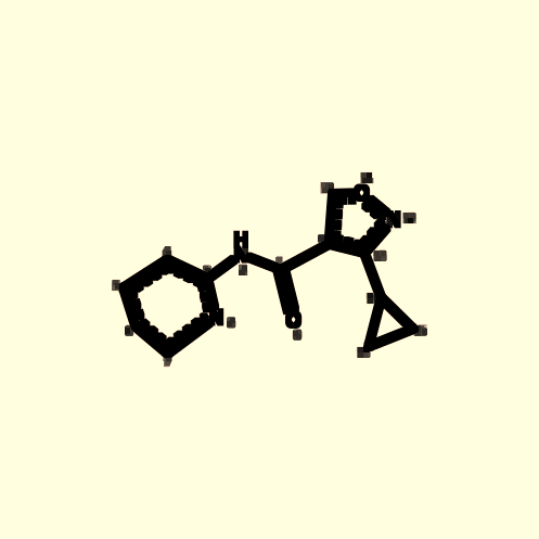 O=C(Nc1ccccn1)c1conc1C1CC1